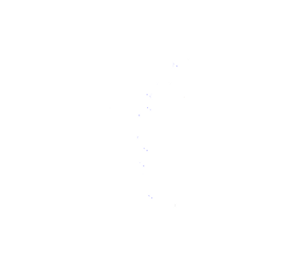 CCN(CC)/C(S)=N/N=C(C)/C(=N/N=C(\S)N(CC)CC)c1ccccc1